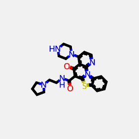 O=C(NCCN1CCCC1)c1c(=O)c2c(N3CCNCC3)ccnc2n2c1sc1ccccc12